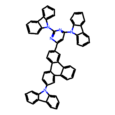 c1ccc2c(c1)c1cc(-c3cc(-n4c5ccccc5c5ccccc54)nc(-n4c5ccccc5c5ccccc54)n3)ccc1c1ccc(-n3c4ccccc4c4ccccc43)cc21